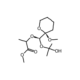 COC(=O)C(C)O[C@H](OC(C)(C)O)[C@@]1(OC)CCCCO1